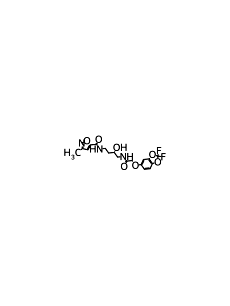 Cc1cc(C(=O)NCC[C@H](O)CNC(=O)COc2ccc3c(c2)OC(F)(F)O3)on1